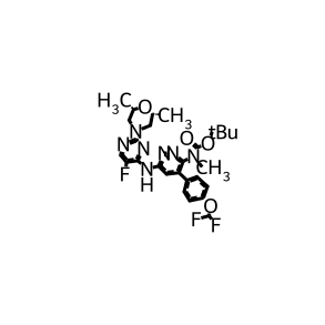 C[C@@H]1CN(c2ncc(F)c(Nc3cc(-c4ccc(OC(F)F)cc4)c(N(C)C(=O)OC(C)(C)C)nn3)n2)C[C@H](C)O1